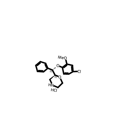 COc1cc(Cl)ccc1O[C@@H](c1ccccc1)[C@@H]1CNCCO1.Cl